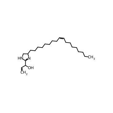 C=CC(O)C1=NC(CCCCCCCC/C=C\CCCCCCCC)CN1